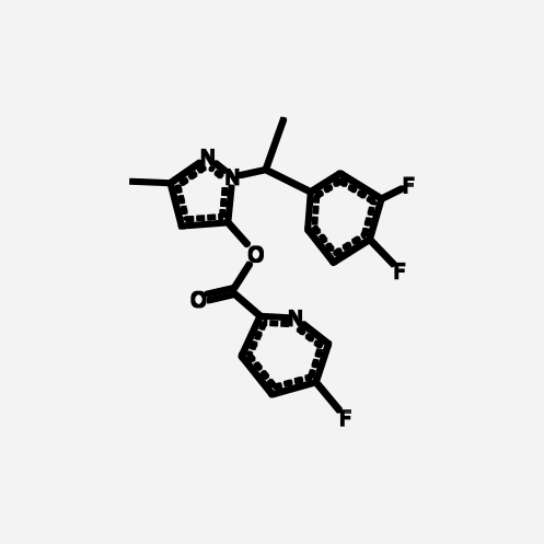 Cc1cc(OC(=O)c2ccc(F)cn2)n(C(C)c2ccc(F)c(F)c2)n1